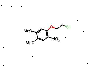 COc1cc(OCCCl)c([N+](=O)[O-])cc1OC